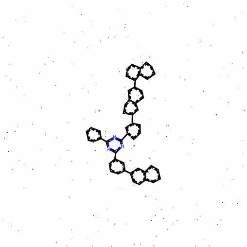 c1ccc(-c2nc(-c3cccc(-c4ccc5ccccc5c4)c3)nc(-c3cccc(-c4ccc5cc(-c6cccc7ccccc67)ccc5c4)c3)n2)cc1